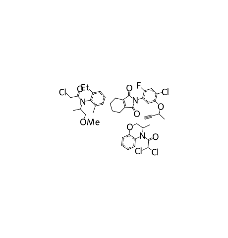 C#CC(C)Oc1cc(N2C(=O)C3=C(CCCC3)C2=O)c(F)cc1Cl.CC1COc2ccccc2N1C(=O)C(Cl)Cl.CCc1cccc(C)c1N(C(=O)CCl)C(C)COC